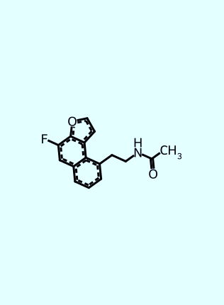 CC(=O)NCCc1cccc2cc(F)c3occc3c12